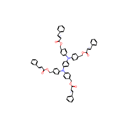 O=C(/C=C/c1ccccc1)OCc1ccc(N(c2ccc(COC(=O)/C=C/c3ccccc3)cc2)c2ccc(N(c3ccc(COC(=O)/C=C/c4ccccc4)cc3)c3ccc(COC(=O)/C=C/c4ccccc4)cc3)cc2)cc1